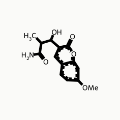 COc1ccc2cc(C(O)C(C)C(N)=O)c(=O)oc2c1